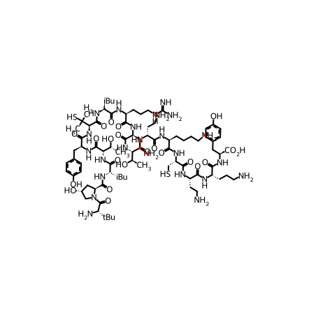 CC[C@H](C)[C@H](NC(=O)[C@@H](NC(=O)[C@H](Cc1ccc(O)cc1)NC(=O)[C@@H](NC(=O)[C@@H](NC(=O)[C@@H]1C[C@@H](O)CN1C(=O)[C@@H](N)C(C)(C)C)[C@@H](C)CC)[C@@H](C)O)C(C)(C)S)C(=O)N[C@@H](CCCNC(=N)N)C(=O)N[C@@H](CCN)C(=O)N[C@H](C(=O)N[C@H](CCN)C(=O)N[C@@H](CCCCN)C(=O)N[C@@H](CS)C(=O)N[C@@H](CCN)C(=O)N[C@@H](CCCN)C(=O)N[C@@H](Cc1ccc(O)cc1)C(=O)O)[C@@H](C)O